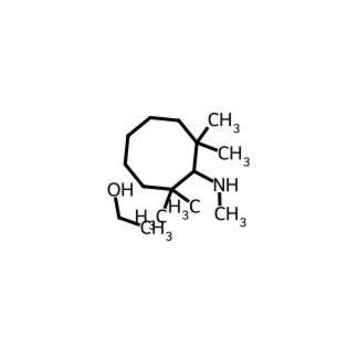 CCO.CNC1C(C)(C)CCCCCC1(C)C